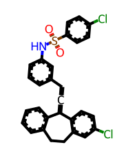 O=S(=O)(Nc1cccc(C=C=C2c3ccccc3CCc3cc(Cl)ccc32)c1)c1ccc(Cl)cc1